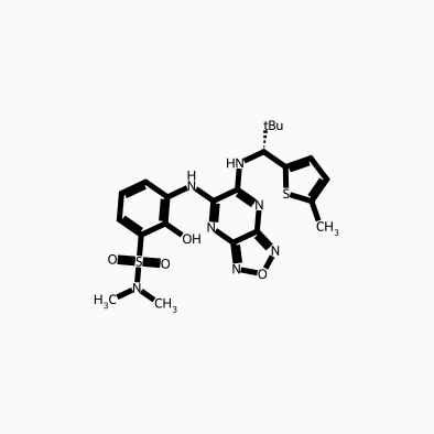 Cc1ccc([C@H](Nc2nc3nonc3nc2Nc2cccc(S(=O)(=O)N(C)C)c2O)C(C)(C)C)s1